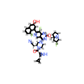 N#CC[C@H]1CN(c2nc(OC[C@@]34CCCN3C[C@H](F)C4)nc3c(F)c(-c4cc(O)cc5cccc(F)c45)ncc23)CCN1C(=O)[C@@H]1N[C@@H]1C1CC1